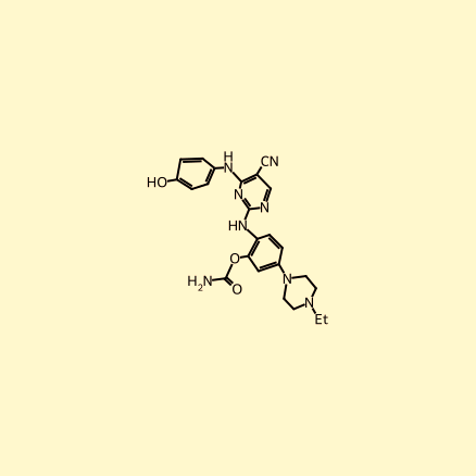 CCN1CCN(c2ccc(Nc3ncc(C#N)c(Nc4ccc(O)cc4)n3)c(OC(N)=O)c2)CC1